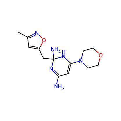 Cc1cc(CC2(N)N=C(N)C=C(N3CCOCC3)N2)on1